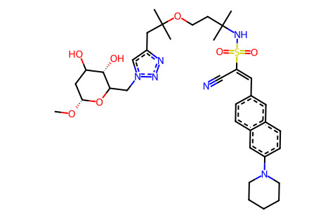 CO[C@@H]1CC(O)[C@H](O)C(Cn2cc(CC(C)(C)OCCC(C)(C)NS(=O)(=O)/C(C#N)=C/c3ccc4cc(N5CCCCC5)ccc4c3)nn2)O1